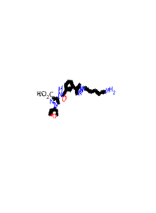 NCCCCCCn1cc(-c2cccc(C(=O)Nc3cn(C4CCOCC4)nc3C(=O)O)c2)cn1